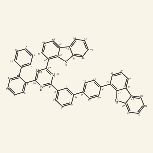 c1ccc(-c2ccccc2-c2nc(-c3cccc(-c4ccc(-c5cccc6c5oc5ccccc56)cc4)c3)nc(-c3cccc4c3sc3ccccc34)n2)cc1